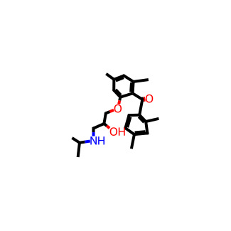 Cc1ccc(C(=O)c2c(C)cc(C)cc2OCC(O)CNC(C)C)c(C)c1